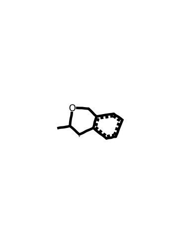 CC1[CH]c2ccccc2CO1